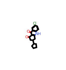 O=C1CC(C2CCCC2)Cc2[nH]c3ccc(Cl)cc3c(=O)c21